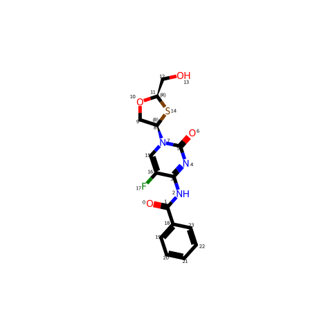 O=C(Nc1nc(=O)n([C@H]2CO[C@@H](CO)S2)cc1F)c1ccccc1